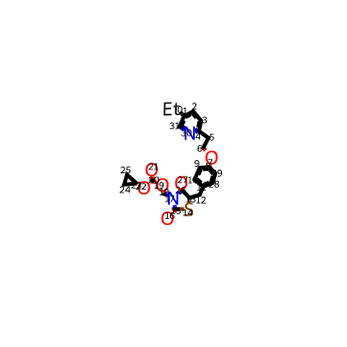 CCc1ccc(CCOc2ccc(CC3SC(=O)N(COC(=O)OC4CC4)C3=O)cc2)nc1